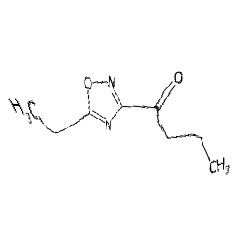 CCCC(=O)c1noc(CC)n1